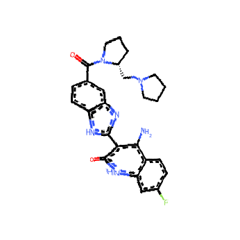 Nc1c(-c2nc3cc(C(=O)N4CCC[C@@H]4CN4CCCC4)ccc3[nH]2)c(=O)[nH]c2cc(F)ccc12